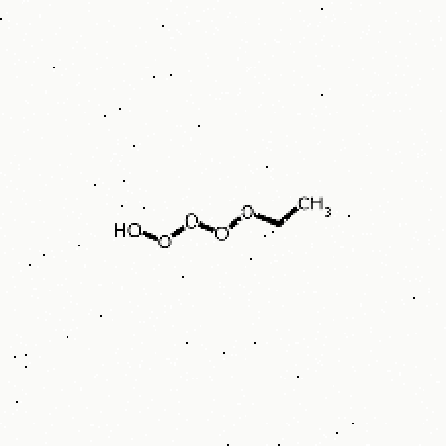 CCOOOOO